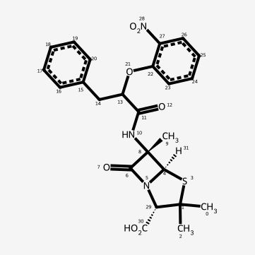 CC1(C)S[C@H]2N(C(=O)[C@]2(C)NC(=O)C(Cc2ccccc2)Oc2ccccc2[N+](=O)[O-])[C@H]1C(=O)O